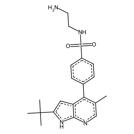 Cc1cnc2[nH]c(C(C)(C)C)cc2c1-c1ccc(S(=O)(=O)NCCN)cc1